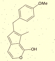 COc1ccc(Cc2cc3ccoc(O)c-3c2C)cc1